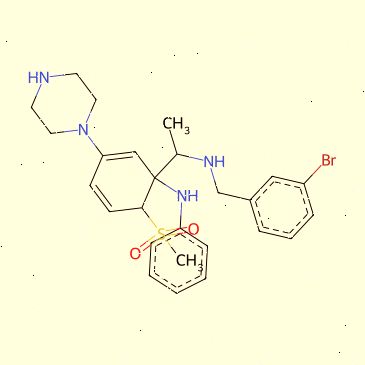 CC(NCc1cccc(Br)c1)C1(Nc2ccccc2)C=C(N2CCNCC2)C=CC1S(C)(=O)=O